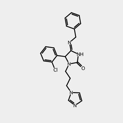 O=C1N/C(=N\Cc2ccccc2)C(c2ccccc2Cl)N1CCCn1ccnc1